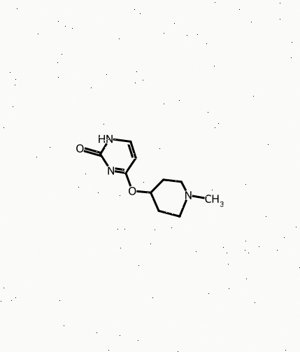 CN1CCC(Oc2cc[nH]c(=O)n2)CC1